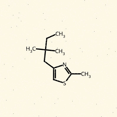 CCC(C)(C)Cc1csc(C)n1